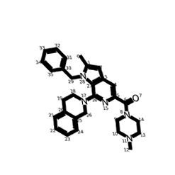 Cc1cc2cc(C(=O)N3CCN(C)CC3)nc(N3CCc4ccccc4C3)c2n1Cc1ccccc1